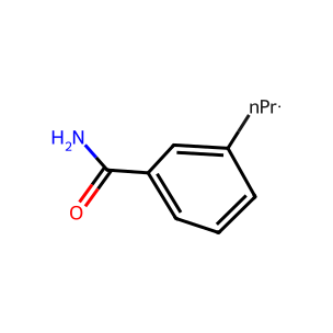 CC[CH]c1cccc(C(N)=O)c1